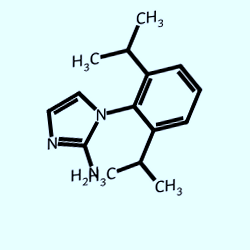 CC(C)c1cccc(C(C)C)c1-n1ccnc1N